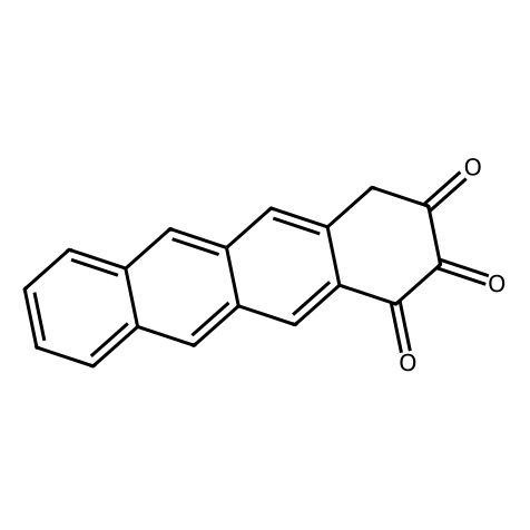 O=C1Cc2cc3cc4ccccc4cc3cc2C(=O)C1=O